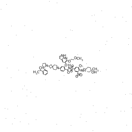 COCCOc1nc2[nH]ccc2cc1Oc1cc(N2CCC3(CC2)CC(N2CCC[C@H]2c2ccccc2C(C)C)C3)ccc1C(=O)NS(=O)(=O)c1cc2c(c([N+](=O)[O-])c1)N[C@@H]([C@H]1CC[C@](C)(O)CC1)CO2